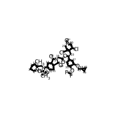 Cc1cccnc1CN(c1ccc2c(c1)C(=O)N(CC(=O)O[C@@H](Cc1c(Cl)c[n+]([O-])cc1Cl)c1ccc(OC(F)F)c(OCC3CC3)c1)C2=O)S(C)(=O)=O